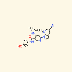 CC(C)Nc1cc(-n2ccc3cc(C#N)cnc32)ncc1C(=O)NC12CCC(O)(CC1)C2